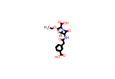 CCO[C@H]1S[C@@H]2C(NC(=O)Cc3cccc(C(=O)O)c3)C(=O)N2C1C(=O)O